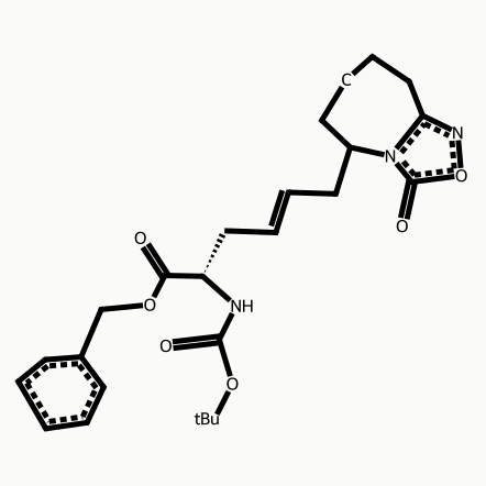 CC(C)(C)OC(=O)N[C@@H](CC=CCC1CCCCc2noc(=O)n21)C(=O)OCc1ccccc1